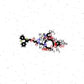 CC[C@H]1OC(=O)[C@H](C)[C@@H](O[C@H]2C[C@@](C)(OC)[C@@H](O)[C@H](C)O2)C(C)[C@@H](O[C@@H]2O[C@H](C)C[C@H](N(C)C)[C@H]2O)[C@](C)(O)C[C@@H](C)CN(CCCNC(=O)CCC(=O)OCc2cc3c(s2)-c2ccccc2Sc2ccccc2-3)[C@H](C)[C@@H](O)[C@]1(C)O